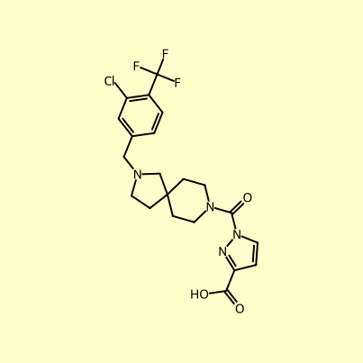 O=C(O)c1ccn(C(=O)N2CCC3(CCN(Cc4ccc(C(F)(F)F)c(Cl)c4)C3)CC2)n1